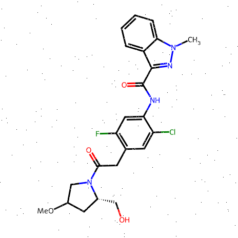 COC1C[C@@H](CO)N(C(=O)Cc2cc(Cl)c(NC(=O)c3nn(C)c4ccccc34)cc2F)C1